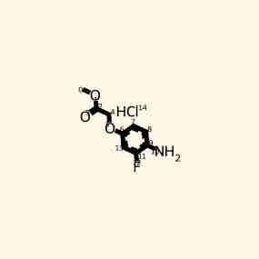 COC(=O)COc1ccc(N)c(F)c1.Cl